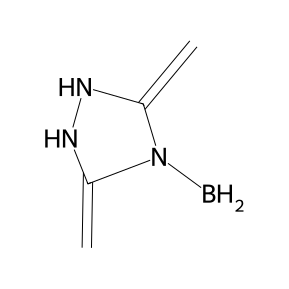 BN1C(=C)NNC1=C